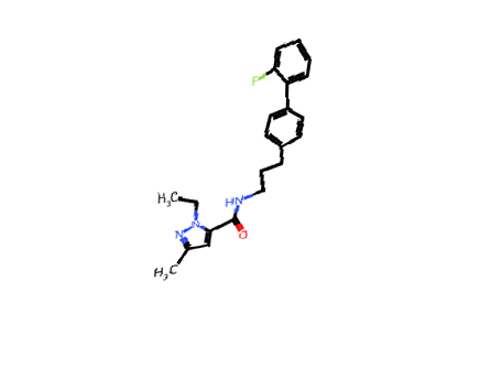 CCn1nc(C)cc1C(=O)NCCCc1ccc(-c2ccccc2F)cc1